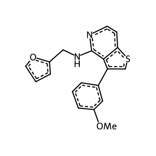 COc1cccc(-c2csc3ccnc(NCc4ccco4)c23)c1